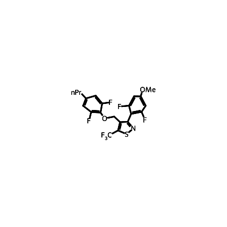 CCCc1cc(F)c(OCc2c(-c3c(F)cc(OC)cc3F)nsc2C(F)(F)F)c(F)c1